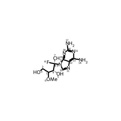 COC(CO)[C@@H](O)[C@@](C)(F)n1cnc2c(N)nc(N)nc21